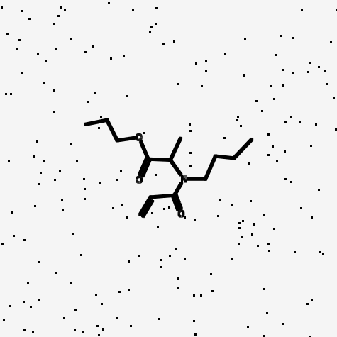 C=CC(=O)N(CCCC)C(C)C(=O)OCCC